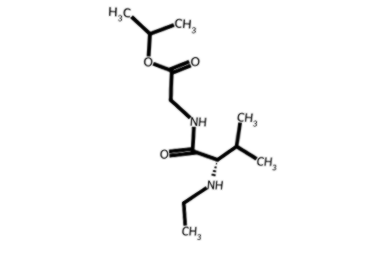 CCN[C@H](C(=O)NCC(=O)OC(C)C)C(C)C